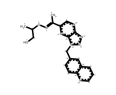 CC(=NOC(C)CO)c1cnc2nnn(Cc3ccc4ncccc4c3)c2n1